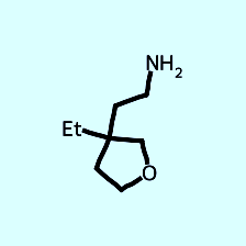 CCC1(CCN)CCOC1